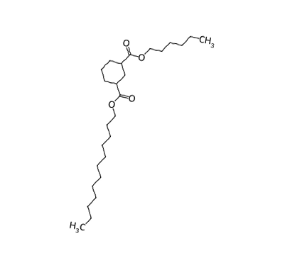 CCCCCCCCCCCCOC(=O)C1CCCC(C(=O)OCCCCCC)C1